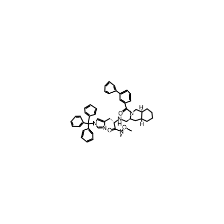 CON(C)C(=O)[C@H](Cc1cn(C(c2ccccc2)(c2ccccc2)c2ccccc2)cn1)NC[C@@H]1C[C@H]2CCCC[C@@H]2CN1C(=O)c1cccc(-c2ccccc2)c1